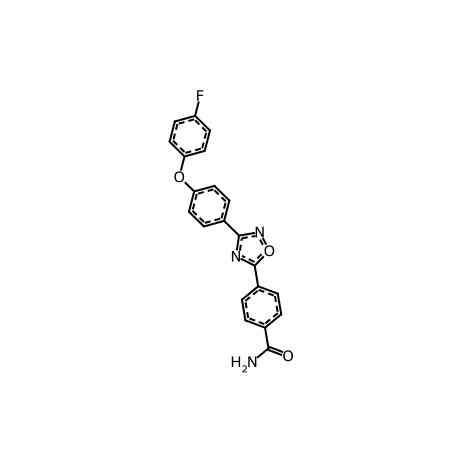 NC(=O)c1ccc(-c2nc(-c3ccc(Oc4ccc(F)cc4)cc3)no2)cc1